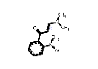 CC(=O)N(C)c1ccccc1C(=O)/C=C/N(C)C